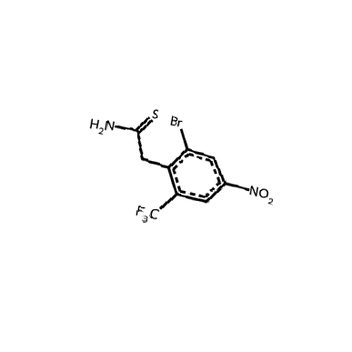 NC(=S)Cc1c(Br)cc([N+](=O)[O-])cc1C(F)(F)F